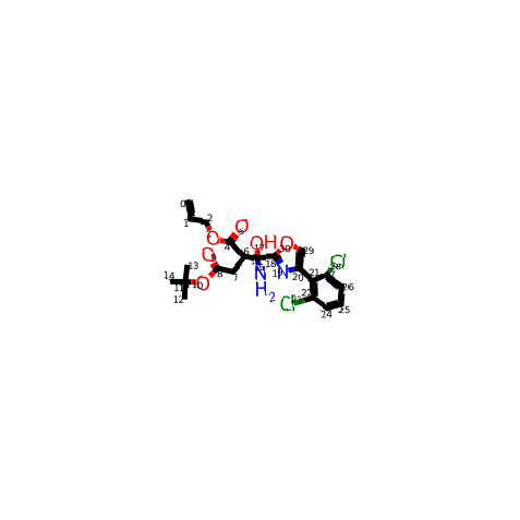 C=CCOC(=O)C(CC(=O)OC(C)(C)C)C(N)(O)c1nc(-c2c(Cl)cccc2Cl)co1